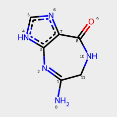 NC1=Nc2[nH]cnc2C(=O)NC1